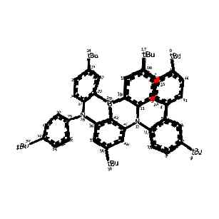 CC(C)(C)c1ccc(-c2cc(C(C)(C)C)ccc2N2c3ccc(C(C)(C)C)cc3B3c4cc(C(C)(C)C)ccc4N(c4ccc(C(C)(C)C)cc4)c4cc(C(C)(C)C)cc2c43)cc1